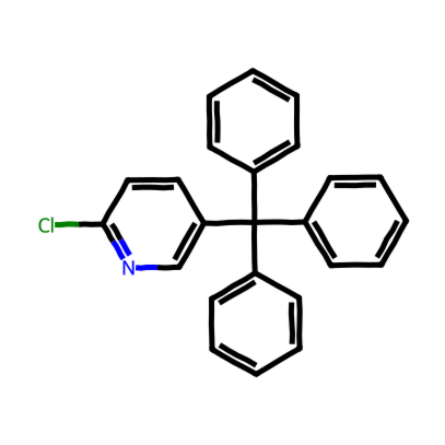 Clc1ccc(C(c2ccccc2)(c2ccccc2)c2ccccc2)cn1